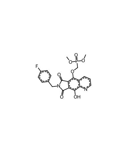 COP(=O)(COc1c2c(c(O)c3ncccc13)C(=O)N(Cc1ccc(F)cc1)C2=O)OC